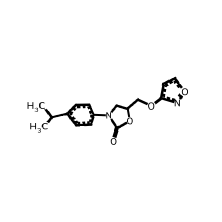 CC(C)c1ccc(N2CC(COc3ccon3)OC2=O)cc1